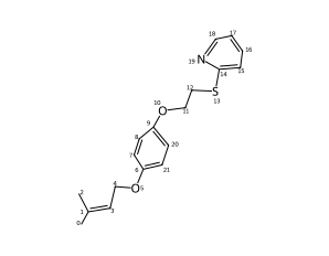 CC(C)=CCOc1ccc(OCCSc2ccccn2)cc1